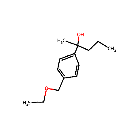 CCCC(C)(O)c1ccc(COC[SiH3])cc1